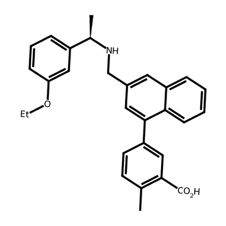 CCOc1cccc([C@@H](C)NCc2cc(-c3ccc(C)c(C(=O)O)c3)c3ccccc3c2)c1